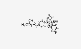 CC(C)=CCCN1CCC(NC(=O)C(O)(c2ccc(F)cc2)C2CCC2)CC1